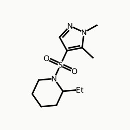 CCC1CCCCN1S(=O)(=O)c1cnn(C)c1C